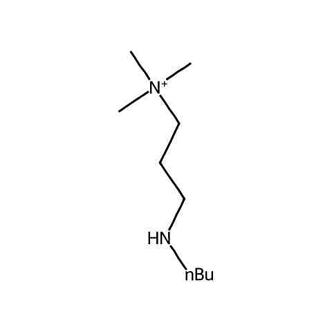 CCCCNCCC[N+](C)(C)C